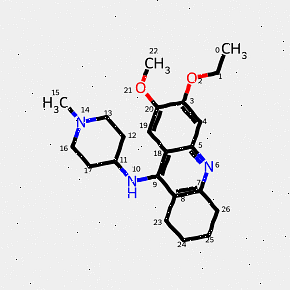 CCOc1cc2nc3c(c(NC4CCN(C)CC4)c2cc1OC)CCCC3